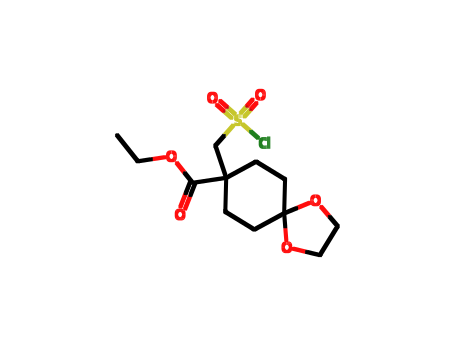 CCOC(=O)C1(CS(=O)(=O)Cl)CCC2(CC1)OCCO2